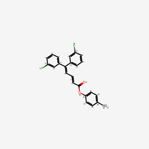 O=C(/C=C/C=C(c1cccc(F)c1)c1cccc(F)c1)Oc1ccc([N+](=O)[O-])cc1